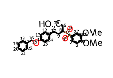 COc1ccc(S(=O)(=O)C(CCc2ccc(OCc3ccccc3)cc2)CC(=O)O)cc1OC